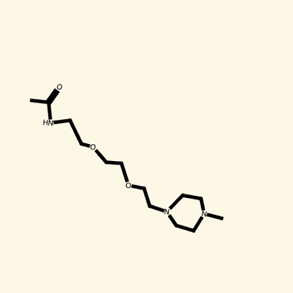 CC(=O)NCCOCCOCCN1CCN(C)CC1